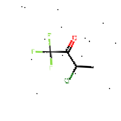 CC(Cl)C(=O)C(F)(F)F